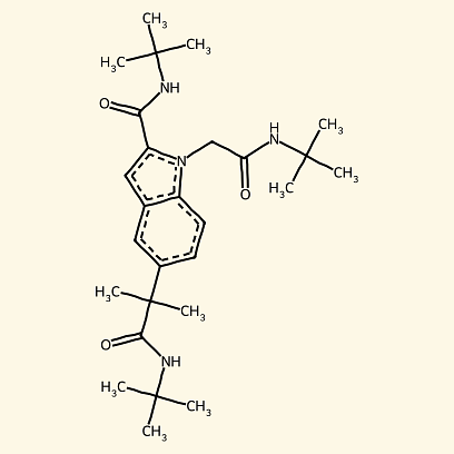 CC(C)(C)NC(=O)Cn1c(C(=O)NC(C)(C)C)cc2cc(C(C)(C)C(=O)NC(C)(C)C)ccc21